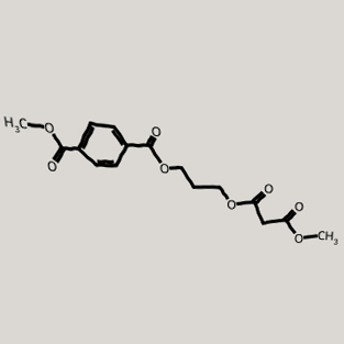 COC(=O)CC(=O)OCCCOC(=O)c1ccc(C(=O)OC)cc1